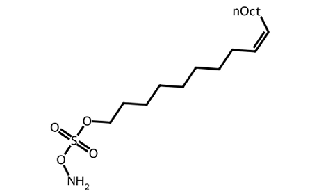 CCCCCCCC/C=C\CCCCCCCCOS(=O)(=O)ON